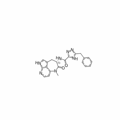 CN1C(=O)[C@@H](NC(=O)c2nnc(Cc3ccccc3)[nH]2)Cc2c[nH]c3nccc1c23